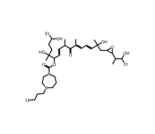 CCC(O)CCC(C)(O)C(/C=C/C(C)C(=O)/C(C)=C/C=C/C(C)(O)CC1OC1C(C)C(O)CC)OC(=O)N1CCCN(CCCCl)CC1